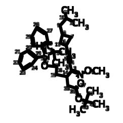 CO/N=C(\C#CC1CC(CC(C)C)C1)C(CCO[Si](c1ccccc1)(c1ccccc1)C(C)(C)C)CC(=O)OC(C)(C)C